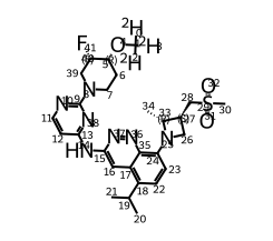 [2H]C([2H])([2H])O[C@@H]1CCN(c2nccc(Nc3cc4c(C(C)C)ccc(N5C[C@H](CS(C)(=O)=O)[C@H]5C)c4nn3)n2)C[C@@H]1F